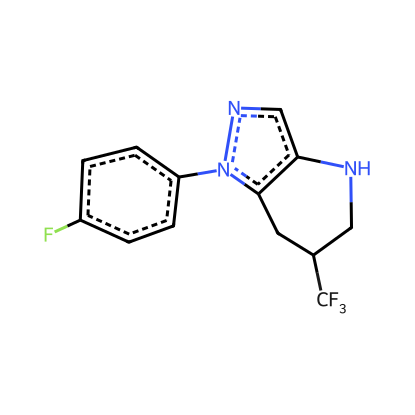 Fc1ccc(-n2ncc3c2CC(C(F)(F)F)CN3)cc1